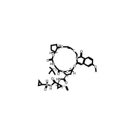 C=C[C@@H]1C[C@]1(NC(=O)[C@@H]1C[C@@H]2CN1C(=O)[C@H](C(C)(C)C)NC(=O)O[C@@H]1CCC[C@H]1CC=CCCn1c(cc3cc(OC)ccc3c1=O)O2)C(=O)NS(=O)(=O)C1CC1